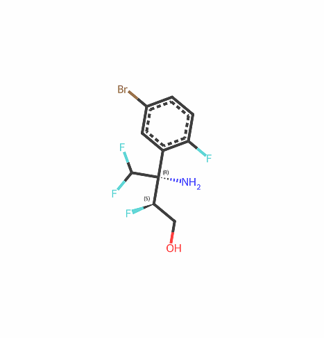 N[C@@](c1cc(Br)ccc1F)(C(F)F)[C@H](F)CO